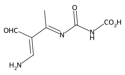 CC(=N\C(=O)NC(=O)O)/C(C=O)=C/N